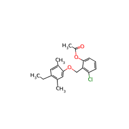 CCc1cc(C)c(OCc2c(Cl)cccc2OC(C)=O)cc1C